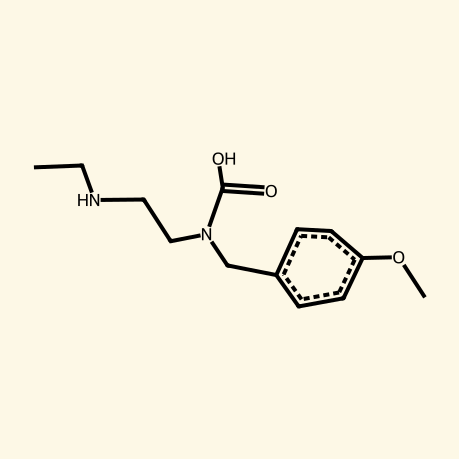 CCNCCN(Cc1ccc(OC)cc1)C(=O)O